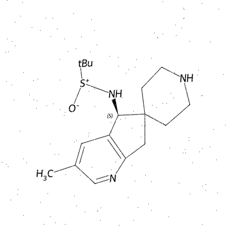 Cc1cnc2c(c1)[C@@H](N[S+]([O-])C(C)(C)C)C1(CCNCC1)C2